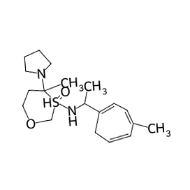 CC1=CC=C(C(C)N[SH]2(=O)COCCC2(C)N2CCCC2)CC=C1